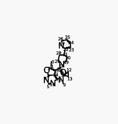 Cc1oc2ncnc(N(C)C3(C)CC3)c2c1C(=O)N1CCC(c2ccccn2)CC1